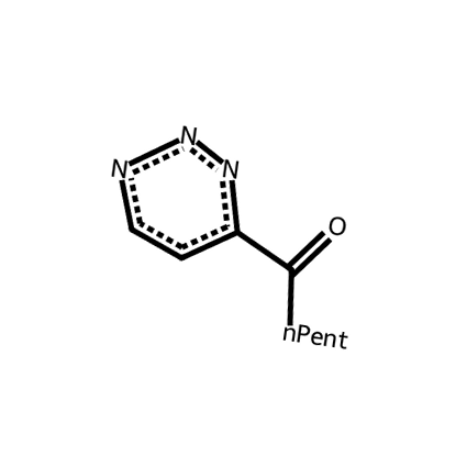 CCCCCC(=O)c1ccnnn1